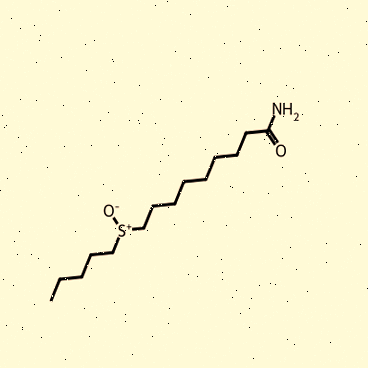 CCCCC[S+]([O-])CCCCCCCCC(N)=O